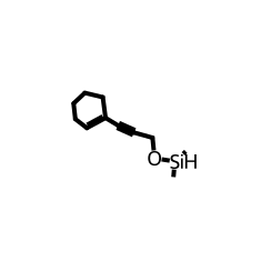 C[SiH](C)OCC#CC1=CCCCC1